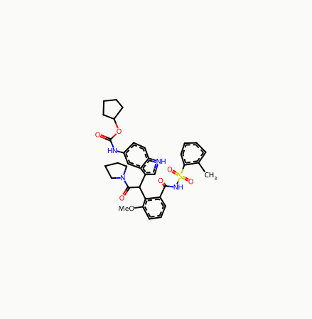 COc1cccc(C(=O)NS(=O)(=O)c2ccccc2C)c1C(C(=O)N1CCCC1)c1c[nH]c2ccc(NC(=O)OC3CCCC3)cc12